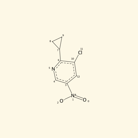 O=[N+]([O-])c1cnc(C2CC2)c(Cl)c1